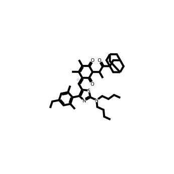 CCCCN(CCCC)c1nc(-c2c(C)cc(CC)cc2C)c(/C=C2\C(=O)C(C(C)C(=O)C34CC5CC(CC(C5)C3)C4)C(=O)C(C)=C2C)s1